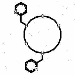 c1ccc(CN2CCCCCOCCOCCN(Cc3ccccn3)CCOCC2)nc1